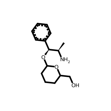 C[C@@H](N)[C@@H](OC1CCCC(CO)O1)c1ccccc1